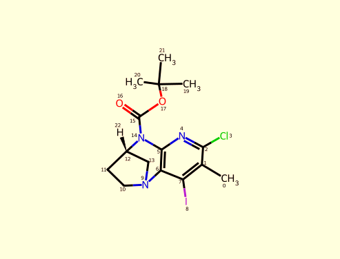 Cc1c(Cl)nc2c(c1I)N1CC[C@@H](C1)N2C(=O)OC(C)(C)C